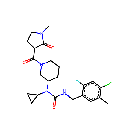 Cc1cc(CNC(=O)N(C2CC2)[C@@H]2CCCN(C(=O)C3CCN(C)C3=O)C2)c(F)cc1Cl